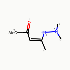 COC(=O)C=C(C)NN(C)C